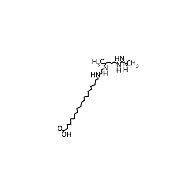 CNC(=N)NCCCC(C)NCCNCCCCCCCCCCCCCCCCCCCC(=O)O